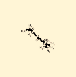 CCC(C)(C)C(=O)OCCOC(=O)CCC(=O)OC(C)(C(C)C)C(C)C